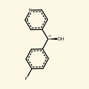 O[C@H](c1ccncc1)c1ccc(F)cc1